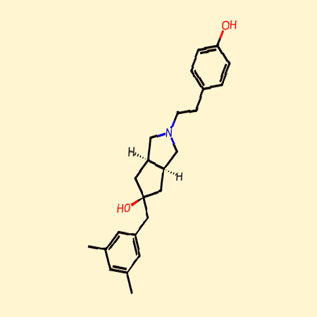 Cc1cc(C)cc(C[C@]2(O)C[C@H]3CN(CCc4ccc(O)cc4)C[C@H]3C2)c1